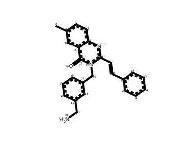 Cc1ccc2nc(/C=C/c3ccccc3)n(Cc3cccc(CN)c3)c(=O)c2c1